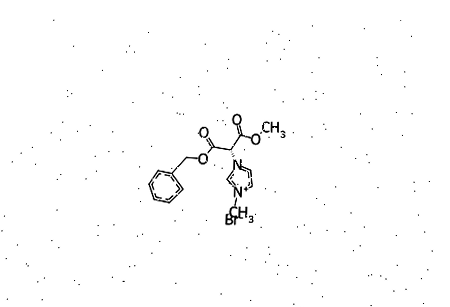 COC(=O)[C@@H](C(=O)OCc1ccccc1)n1cc[n+](C)c1.[Br-]